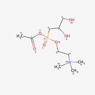 CC(=O)OP(=O)(CC(O)CO)OCC[N+](C)(C)C